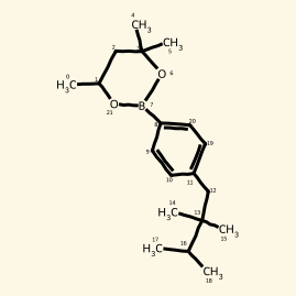 CC1CC(C)(C)OB(c2ccc(CC(C)(C)C(C)C)cc2)O1